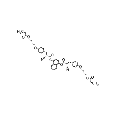 C=CC(=O)OCCCCOc1ccc(/C=C(\C#N)C(=O)Oc2ccc(SC(=O)/C(C#N)=C/c3ccc(OCCCCOC(=O)C=C)cc3)c3ccccc23)cc1